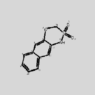 O=S1(=O)COc2cc3ccccc3cc2N1